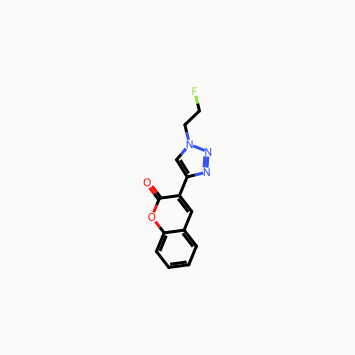 O=c1oc2ccccc2cc1-c1cn(CCF)nn1